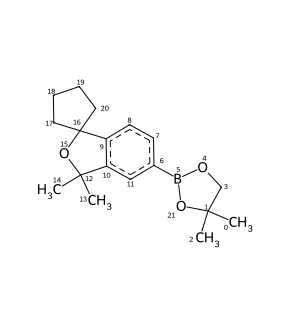 CC1(C)COB(c2ccc3c(c2)C(C)(C)OC32CCCC2)O1